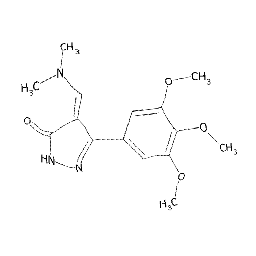 COc1cc(C2=NNC(=O)C2=CN(C)C)cc(OC)c1OC